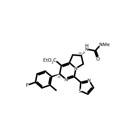 CCOC(=O)C1=C2C[C@H](NC(=O)NC)CN2C(c2nccs2)=N[C@H]1c1ccc(F)cc1C